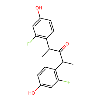 CC(C(=O)C(C)c1ccc(O)cc1F)c1ccc(O)cc1F